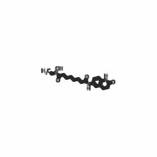 CCN(O)C(=O)CCCCCCC(=O)Nc1ccc2c(c1)CCC(=O)N2